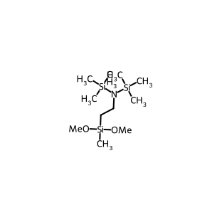 CO[Si](C)(CCN([Si](C)(C)C)[Si](C)(C)C)OC